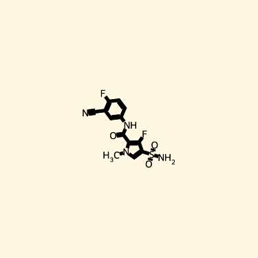 Cn1cc(S(N)(=O)=O)c(F)c1C(=O)Nc1ccc(F)c(C#N)c1